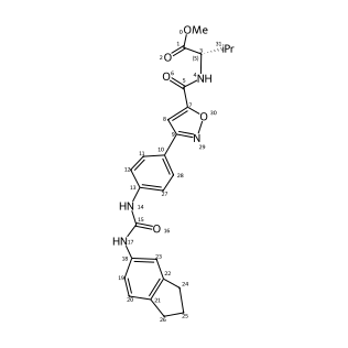 COC(=O)[C@@H](NC(=O)c1cc(-c2ccc(NC(=O)Nc3ccc4c(c3)CCC4)cc2)no1)C(C)C